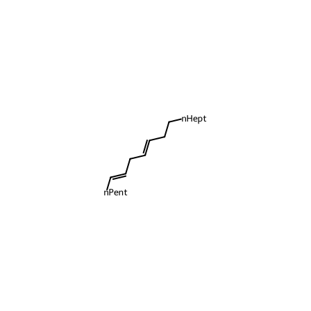 [CH2]CCCCC=CCC=CCCCCCCCCC